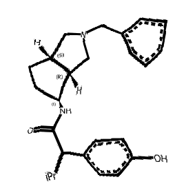 CC(C)C(C(=O)N[C@H]1CC[C@@H]2CN(Cc3ccccc3)C[C@@H]21)c1ccc(O)cc1